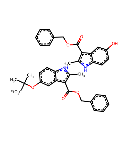 CCOC(=O)C(C)(C)Oc1ccc2[nH]c(C)c(C(=O)OCc3ccccc3)c2c1.Cc1[nH]c2ccc(O)cc2c1C(=O)OCc1ccccc1